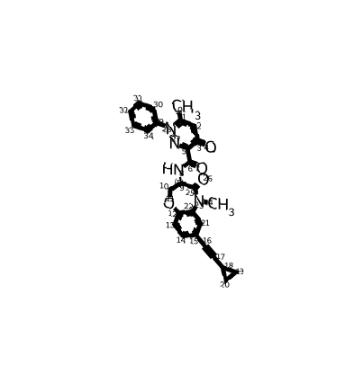 Cc1cc(=O)c(C(=O)N[C@H]2COc3ccc(C#CC4CC4)cc3N(C)C2=O)nn1-c1ccccc1